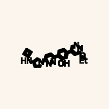 CCOc1cc(-c2ccc(-c3ccc(N4CC[C@@H](NC5CCC5)C4)nn3)c(O)c2)cnn1